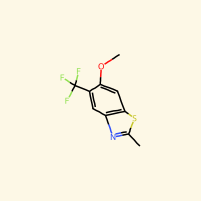 COc1cc2sc(C)nc2cc1C(F)(F)F